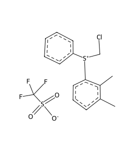 Cc1cccc([S+](CCl)c2ccccc2)c1C.O=S(=O)([O-])C(F)(F)F